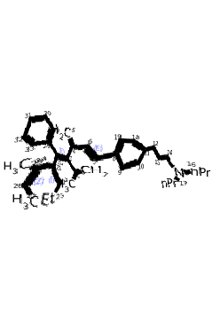 C=C(C)\C(C(=C)/C=C/c1ccc(CCCN(CCC)CCC)cc1)=C(C(=C/CC)/C(C)=C\C)\c1ccccc1